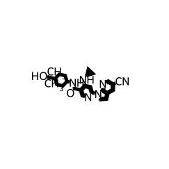 CC(C)(O)C1CCC(NC(=O)c2cnc(-n3ccc4cc(C#N)cnc43)cc2NC2CC2)CC1